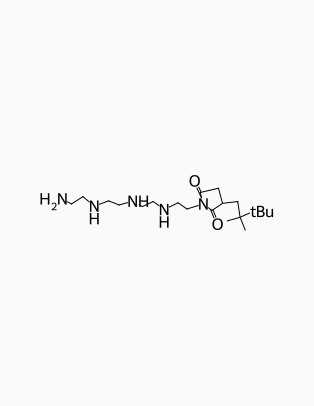 CC(C)(C)C(C)(C)CC1CC(=O)N(CCNCCNCCNCCN)C1=O